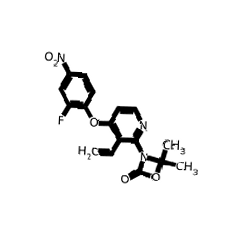 C=Cc1c(Oc2ccc([N+](=O)[O-])cc2F)ccnc1N1C(=O)OC1(C)C